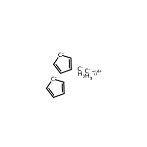 [CH3-].[CH3-].[Ti+4].c1cc[cH-]c1.c1cc[cH-]c1